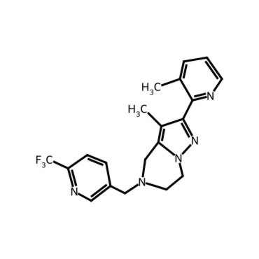 Cc1cccnc1-c1nn2c(c1C)CN(Cc1ccc(C(F)(F)F)nc1)CC2